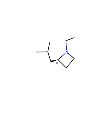 CCN1CC[C@H]1CC(C)C